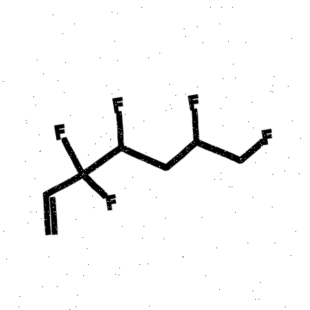 C=CC(F)(F)C(F)CC(F)CF